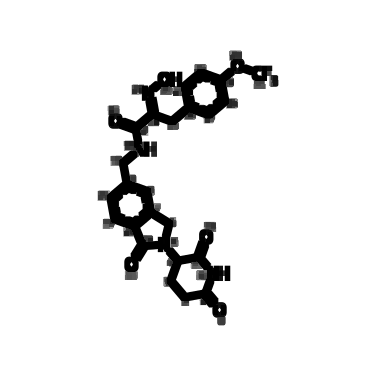 O=C1CCC(N2Cc3cc(CNC(=O)/C(Cc4ccc(OC(F)(F)F)cc4)=N/O)ccc3C2=O)C(=O)N1